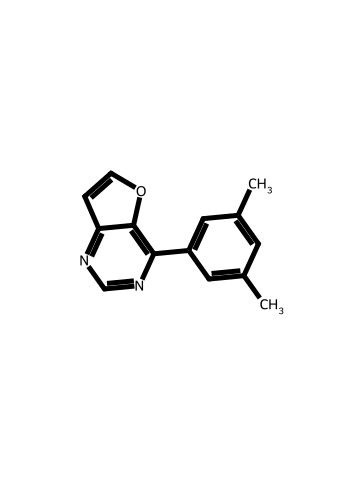 Cc1cc(C)cc(-c2ncnc3ccoc23)c1